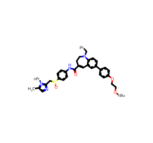 CCCCOCCOc1ccc(-c2ccc3c(c2)C=C(C(=O)Nc2ccc([S+]([O-])Cc4ncc(C)n4CCC)cc2)CCN3CC(C)C)cc1